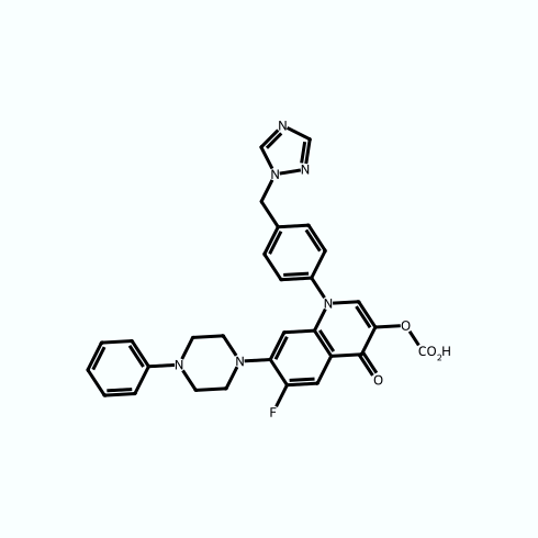 O=C(O)Oc1cn(-c2ccc(Cn3cncn3)cc2)c2cc(N3CCN(c4ccccc4)CC3)c(F)cc2c1=O